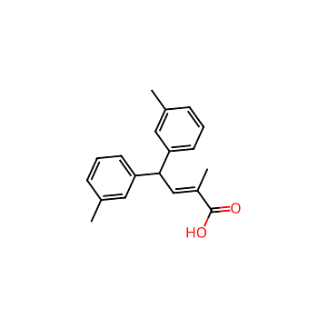 CC(=CC(c1cccc(C)c1)c1cccc(C)c1)C(=O)O